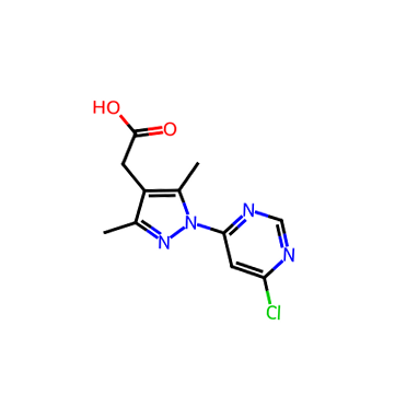 Cc1nn(-c2cc(Cl)ncn2)c(C)c1CC(=O)O